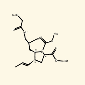 CC=C[C@@H]1C[C@H](C(=O)OC(C)(C)C)N(C(=O)OC(C)(C)C)[C@@H]1CC(CCC)CNC(=O)COC